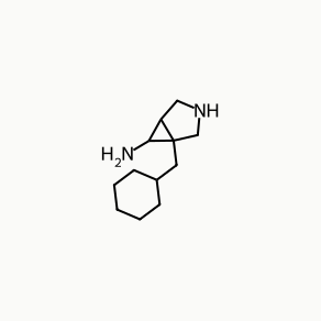 NC1C2CNCC12CC1CCCCC1